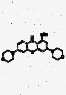 CCCCc1cc(N2CCOCC2)cc2c1Nc1ccc(N3CCOCC3)cc1S2